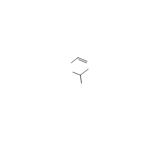 C=CCC.CCC(C)O.O